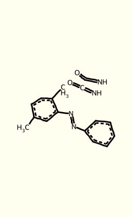 Cc1ccc(C)c(N=Nc2ccccc2)c1.N=C=O.N=C=O